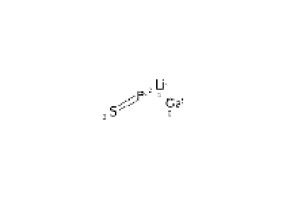 [Ga].[Li].[P]=S